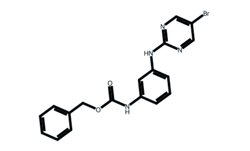 O=C(Nc1cccc(Nc2ncc(Br)cn2)c1)OCc1ccccc1